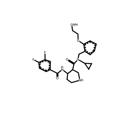 COCCOc1ccccc1CN(C(=O)C1CNCCC1NC(=O)c1ccc(F)c(F)c1)C1CC1